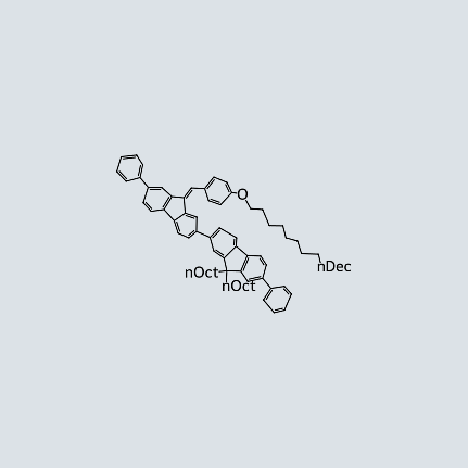 CCCCCCCCCCCCCCCCCCOc1ccc(/C=C2/c3cc(-c4ccccc4)ccc3-c3ccc(-c4ccc5c(c4)C(CCCCCCCC)(CCCCCCCC)c4cc(-c6ccccc6)ccc4-5)cc32)cc1